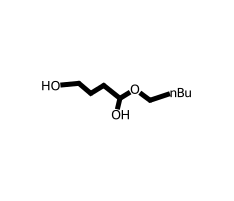 CCCCCOC(O)CCCO